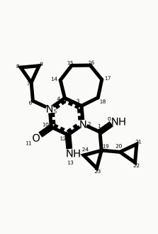 N=C(n1c2c(n(CC3CC3)c(=O)c1=N)CCCCC2)C1(C2CC2)CC1